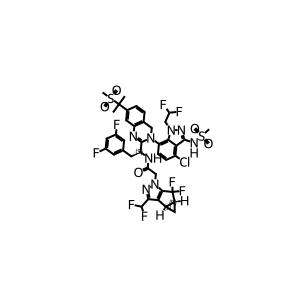 CC(C)(c1ccc2c(c1)N=C([C@H](Cc1cc(F)cc(F)c1)NC(=O)Cn1nc(C(F)F)c3c1C(F)(F)[C@@H]1C[C@H]31)N(c1ccc(Cl)c3c(NS(C)(=O)=O)nn(CC(F)F)c13)C2)S(C)(=O)=O